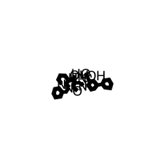 O=c1c(C2=Nc3ccc(-c4ccccc4)cc3S(O)(O)N2)c(O)c2cccnc2n1Cc1ccccc1